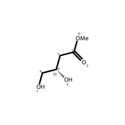 COC(=O)C[C@H](O)CO